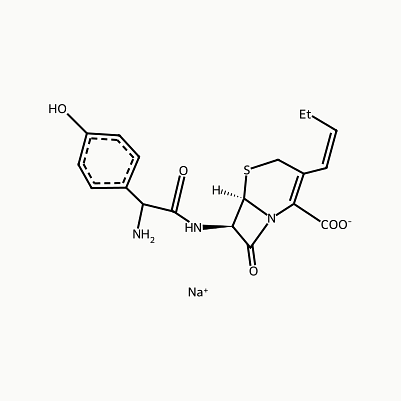 CC/C=C\C1=C(C(=O)[O-])N2C(=O)[C@@H](NC(=O)C(N)c3ccc(O)cc3)[C@H]2SC1.[Na+]